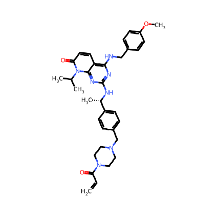 C=CC(=O)N1CCN(Cc2ccc([C@H](C)Nc3nc(NCc4ccc(OC)cc4)c4ccc(=O)n(C(C)C)c4n3)cc2)CC1